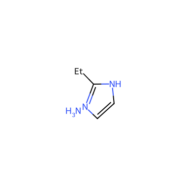 CCc1ncc[nH]1.N